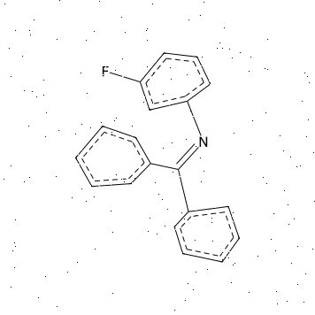 Fc1cccc(N=C(c2ccccc2)c2ccccc2)c1